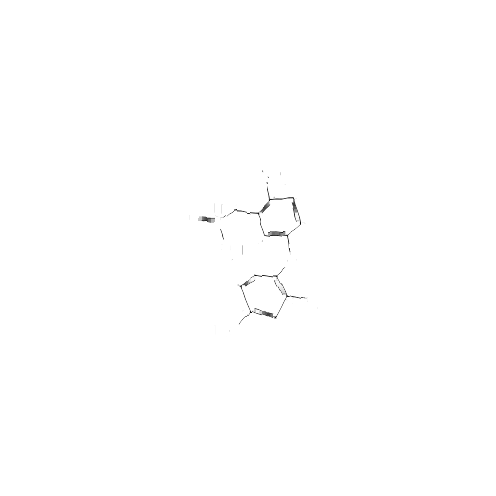 O=[N+]([O-])c1ccc(Oc2ccc(C(F)(F)F)cc2Cl)cc1C[PH](=O)O